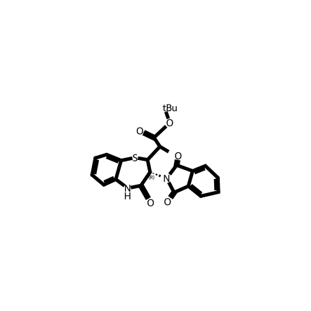 CC(C(=O)OC(C)(C)C)C1Sc2ccccc2NC(=O)[C@H]1N1C(=O)c2ccccc2C1=O